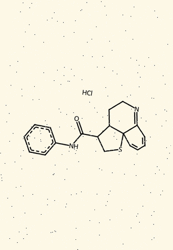 Cl.O=C(Nc1ccccc1)C1CSC23C=CC=CC2=NCCC13